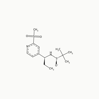 CC[C@H](N[S@+]([O-])C(C)(C)C)c1ccnc(S(C)(=O)=O)c1